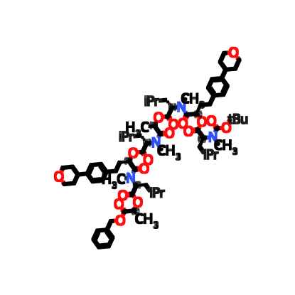 CC(C)C[C@@H](C(=O)O[C@H](CCc1ccc(C2CCOCC2)cc1)C(=O)N(C)[C@@H](CC(C)C)C(=O)O[C@H](C)C(=O)N(C)[C@@H](CC(C)C)C(=O)O[C@H](CCc1ccc(C2CCOCC2)cc1)C(=O)N(C)[C@@H](CC(C)C)C(=O)O[C@H](C)C(=O)OCc1ccccc1)N(C)C(=O)OC(C)(C)C